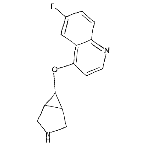 Fc1ccc2nccc(OC3C4CNCC43)c2c1